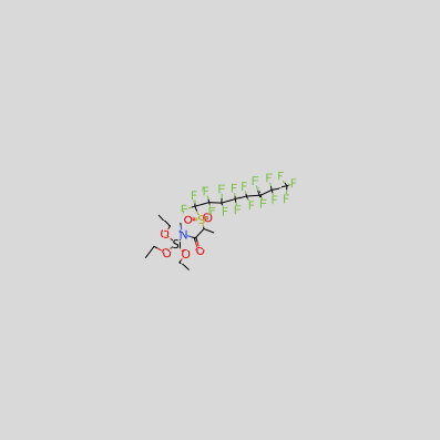 CCO[Si](OCC)(OCC)N(C)C(=O)C(C)S(=O)(=O)C(F)(F)C(F)(F)C(F)(F)C(F)(F)C(F)(F)C(F)(F)C(F)(F)C(F)(F)F